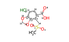 CS(=O)(=O)Cc1c(C(=O)O)ccc2c1OCO2.Cl